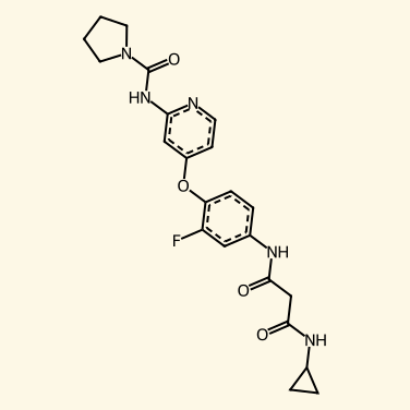 O=C(CC(=O)NC1CC1)Nc1ccc(Oc2ccnc(NC(=O)N3CCCC3)c2)c(F)c1